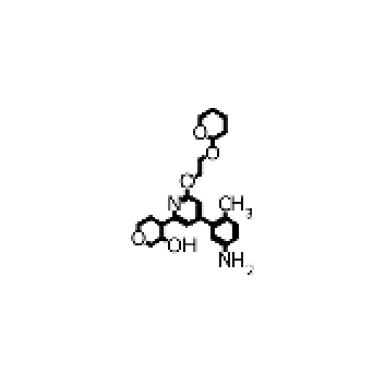 Cc1ccc(N)cc1-c1cc(OCCOC2CCCCO2)nc(C2CCOCC2O)c1